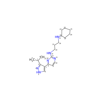 CC(C)c1n[nH]cc1-c1ccnc(NCCCNC2CCCCC2)n1